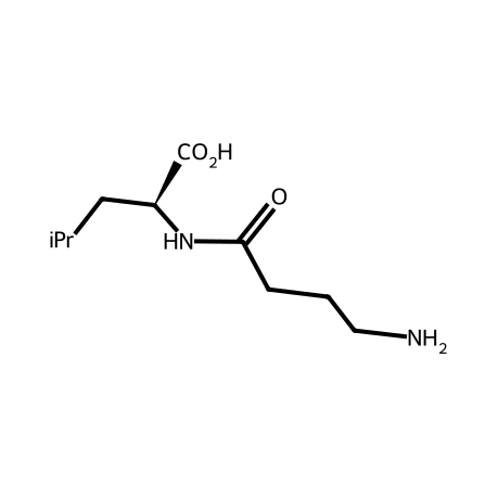 CC(C)C[C@H](NC(=O)CCCN)C(=O)O